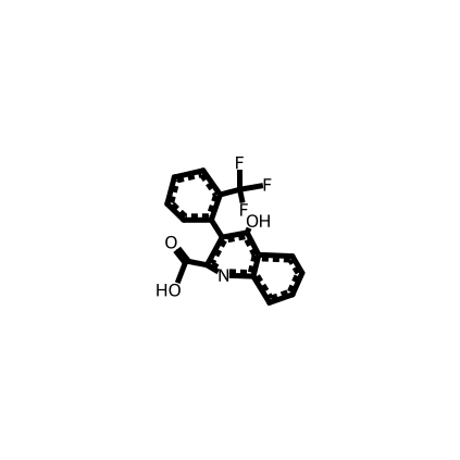 O=C(O)c1nc2ccccc2c(O)c1-c1ccccc1C(F)(F)F